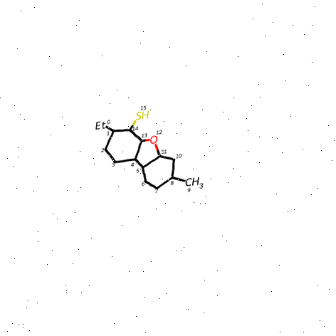 CCC1CCC2C3CCC(C)CC3OC2C1S